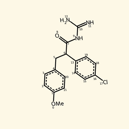 COc1ccc(CC(C(=O)NC(=N)N)c2ccc(Cl)cc2)cc1